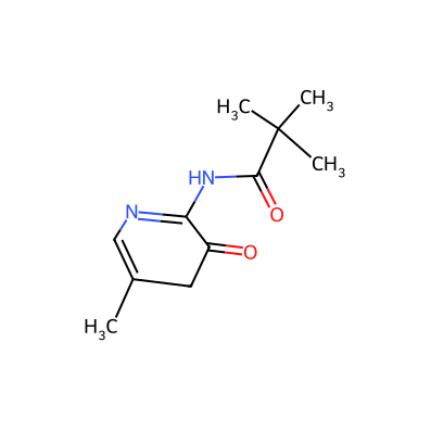 CC1=CN=C(NC(=O)C(C)(C)C)C(=O)C1